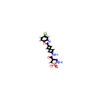 O=C(NC1CC2(C1)CC(c1nc3cc(Cl)ccc3o1)C2)C1CNS(=O)(=O)C1